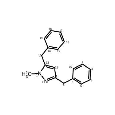 Cn1nc(Cc2ccccc2)cc1Cc1ccccc1